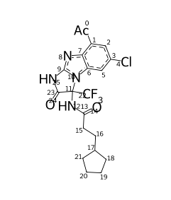 CC(=O)c1cc(Cl)cc2c1nc1n2C(NC(=O)CCC2CCCC2)(C(F)(F)F)C(=O)N1